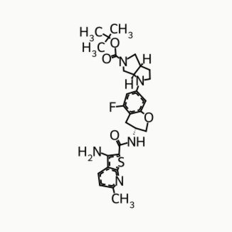 Cc1ccc2c(N)c(C(=O)N[C@H]3COc4cc(N5CC[C@H]6CN(C(=O)OC(C)(C)C)C[C@H]65)cc(F)c4C3)sc2n1